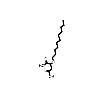 CCCCCCCCCCCOC(CC(=O)O)C(=O)O